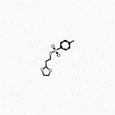 Cc1ccc(S(=O)(=O)OCCC2OCCO2)cc1